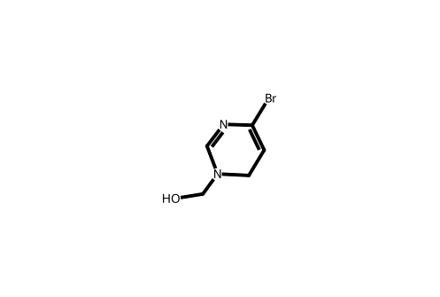 OCN1C=NC(Br)=CC1